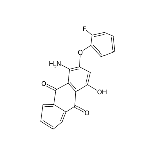 Nc1c(Oc2ccccc2F)cc(O)c2c1C(=O)c1ccccc1C2=O